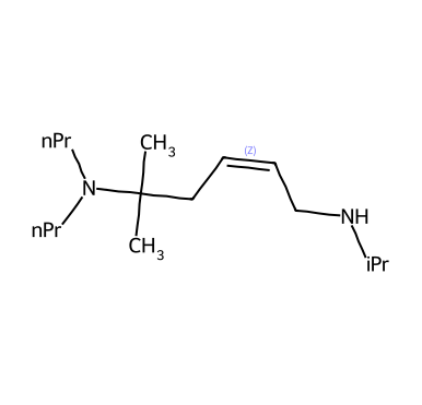 CCCN(CCC)C(C)(C)C/C=C\CNC(C)C